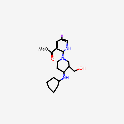 COC(=O)C1=CC(I)=CNC1N1CCC(NC2CCCCC2)C(CO)C1